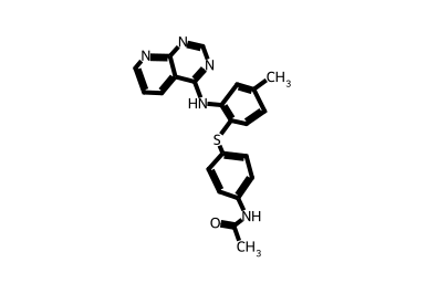 CC(=O)Nc1ccc(Sc2ccc(C)cc2Nc2ncnc3ncccc23)cc1